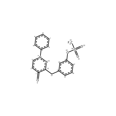 O=c1ccn(-c2ccccc2)nc1Cc1cccc(OS(=O)(=O)C(F)(F)F)c1